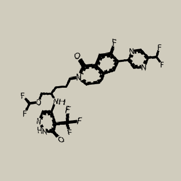 O=c1[nH]ncc(NC(CCCn2ccc3cc(-c4cnc(C(F)F)cn4)c(F)cc3c2=O)COC(F)F)c1C(F)(F)F